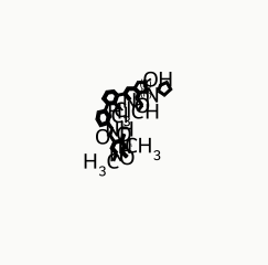 COc1nc(-c2cccc(-c3cccc(NC(=O)c4cn(C)c(=O)n(C)c4=O)c3Cl)c2Cl)cc2c1[C@@H](NC1CCCC1)[C@H](O)C2